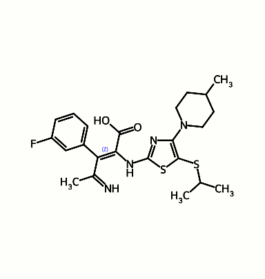 CC(=N)/C(=C(\Nc1nc(N2CCC(C)CC2)c(SC(C)C)s1)C(=O)O)c1cccc(F)c1